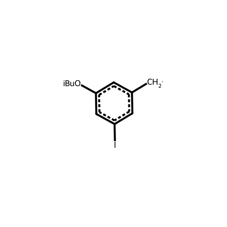 [CH2]c1cc(I)cc(OCC(C)C)c1